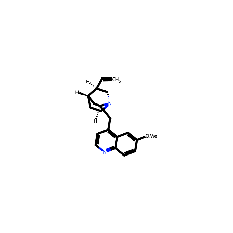 C=C[C@H]1C[N@]2CC[C@H]1C[C@@H]2[CH]c1ccnc2ccc(OC)cc12